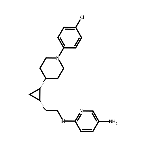 Nc1ccc(NCC[C@@H]2C[C@@H]2C2CCN(c3ccc(Cl)cc3)CC2)nc1